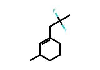 CC1C=C(CC(C)(F)F)CCC1